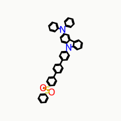 O=S(=O)(c1ccccc1)c1ccc(-c2ccc(-c3ccc(-n4c5ccccc5c5cc(N(c6ccccc6)c6ccccc6)ccc54)cc3)cc2)cc1